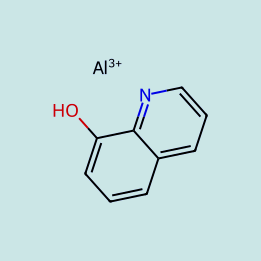 Oc1cccc2cccnc12.[Al+3]